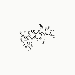 COc1cn(C(CC2(C(F)(F)F)CCC2)C(=O)OC(C)(C)C)c(=O)cc1-c1cc(Cl)ccc1C#N